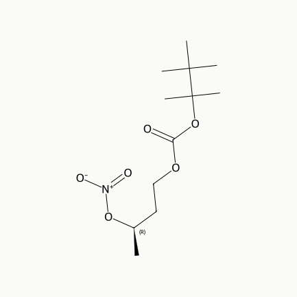 C[C@H](CCOC(=O)OC(C)(C)C(C)(C)C)O[N+](=O)[O-]